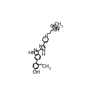 CCc1cc(O)ccc1-c1ccc2c(-c3nc(C4=CCN(CCCNS(C)(=O)=O)CC4)c[nH]3)n[nH]c2c1